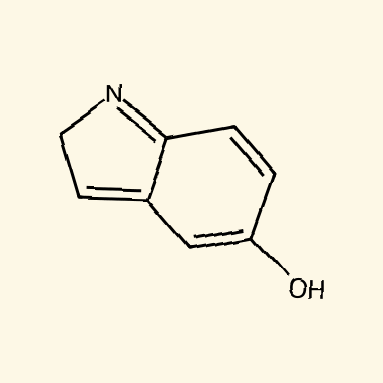 Oc1ccc2c(c1)=CCN=2